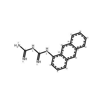 N=C(N)NC(=N)Nc1cccc2cc3ccccc3cc12